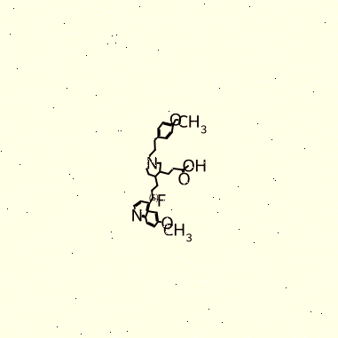 COc1ccc(CCCN2CCC(CC[C@H](F)c3ccnc4ccc(OC)cc34)C(CCC(=O)O)C2)cc1